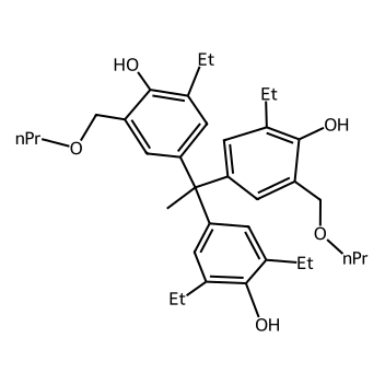 CCCOCc1cc(C(C)(c2cc(CC)c(O)c(CC)c2)c2cc(CC)c(O)c(COCCC)c2)cc(CC)c1O